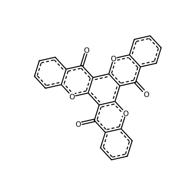 O=c1c2ccccc2oc2c1c1oc3ccccc3c(=O)c1c1oc3ccccc3c(=O)c21